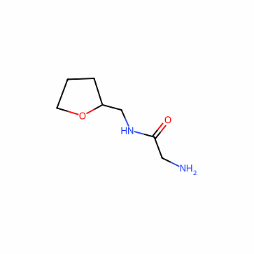 NCC(=O)NCC1CCCO1